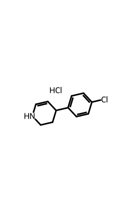 Cl.Clc1ccc(C2C=CNCC2)cc1